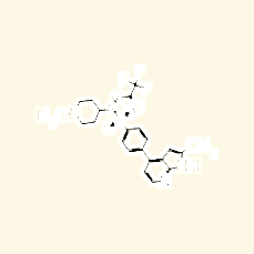 Cc1cc2c(-c3ccc(S(=O)(=O)N(OC(=O)C(F)(F)F)C4CCN(C)CC4)cc3)ccnc2[nH]1